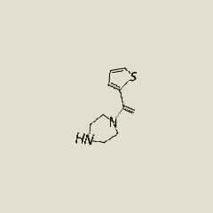 C=C(c1cccs1)N1CCNCC1